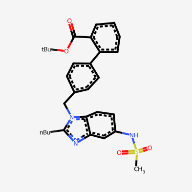 CCCCc1nc2cc(NS(C)(=O)=O)ccc2n1Cc1ccc(-c2ccccc2C(=O)OC(C)(C)C)cc1